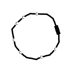 C1#CCCCCCCCCCCCCCCCC1